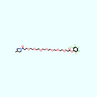 CC1CCN(C(=O)CCOCCOCCOCCOCCOCCOCCOCCC(=O)Oc2c(F)c(F)c(F)c(F)c2F)CC1